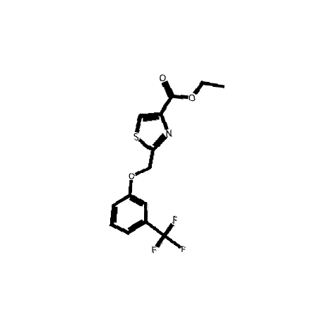 CCOC(=O)c1csc(COc2cccc(C(F)(F)F)c2)n1